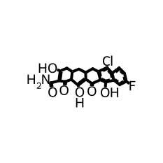 NC(=O)C1=C(O)CC2CC3Cc4c(c(O)c5cc(F)ccc5c4Cl)C(=O)C3=C(O)C2C1=O